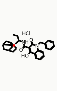 CCC(NC(=O)c1c(O)c2ccccc2n(Cc2ccccc2)c1=O)N1C2CC3CC(C2)CC1C3.Cl